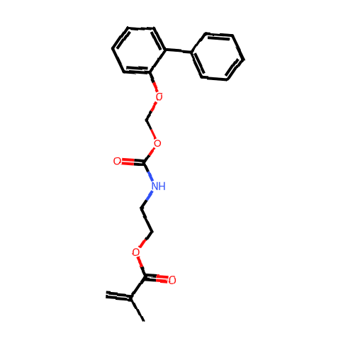 C=C(C)C(=O)OCCNC(=O)OCOc1ccccc1-c1ccccc1